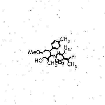 C=C(CO)C(C(CCOC)c1ccc(C)cc1)N(C)/N=C(C)\C(S)=C(\C)C(C)C